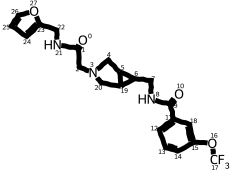 O=C(CN1CC2C(CNC(=O)c3cccc(OC(F)(F)F)c3)C2C1)NCc1ccco1